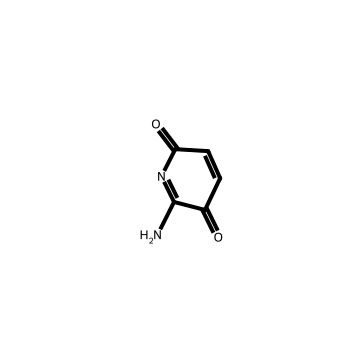 NC1=NC(=O)C=CC1=O